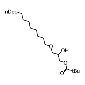 CCCCCCCCCCCCCCCCCCOCC(O)COC(=O)C(C)(C)C